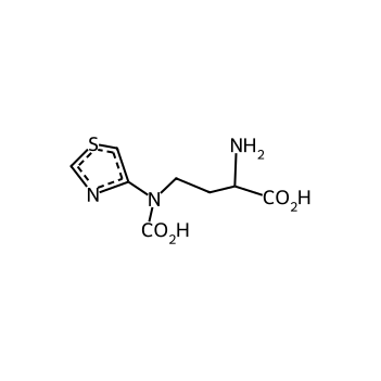 NC(CCN(C(=O)O)c1cscn1)C(=O)O